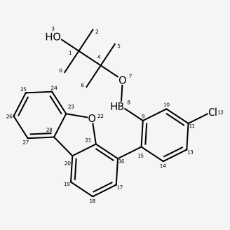 CC(C)(O)C(C)(C)OBc1cc(Cl)ccc1-c1cccc2c1oc1ccccc12